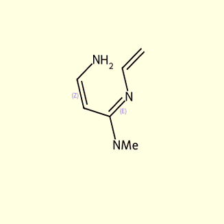 C=C/N=C(\C=C/N)NC